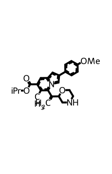 C=C(c1c(C)c(C(=O)OC(C)C)cc2cc(-c3ccc(OC)cc3)cn12)C1CNCCO1